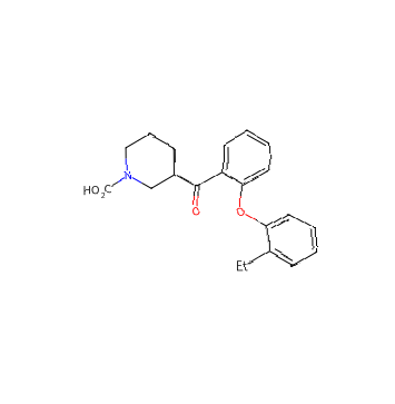 CCc1ccccc1Oc1ccccc1C(=O)C1CCCN(C(=O)O)C1